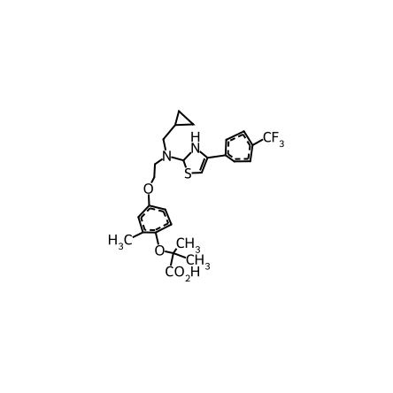 Cc1cc(OCCN(CC2CC2)C2NC(c3ccc(C(F)(F)F)cc3)=CS2)ccc1OC(C)(C)C(=O)O